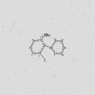 Cc1cccc(C(C)(C)C)c1-c1cc[c]cc1